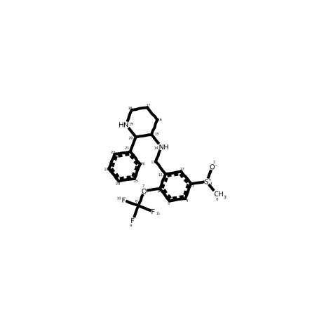 C[S+]([O-])c1ccc(OC(F)(F)F)c(CNC2CCCNC2c2ccccc2)c1